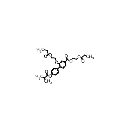 C=C(C)C(=O)Oc1ccc(-c2ccc(C(=O)OCCOC(=O)CC)cc2OCCOC(=O)CC)cc1